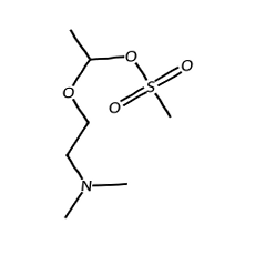 CC(OCCN(C)C)OS(C)(=O)=O